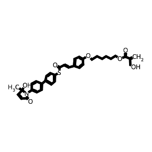 C=C(CO)C(=O)OCCCCCCOc1ccc(/C=C/C(=O)Sc2ccc(-c3ccc(N4C(=O)C=CC4(C)O)cc3)cc2)cc1